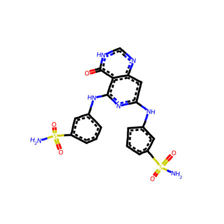 NS(=O)(=O)c1cccc(Nc2cc3nc[nH]c(=O)c3c(Nc3cccc(S(N)(=O)=O)c3)n2)c1